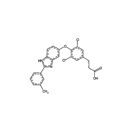 Cc1cccc(-c2nc3cc(Oc4c(Cl)cc(CCC(=O)O)cc4Cl)ccc3[nH]2)c1